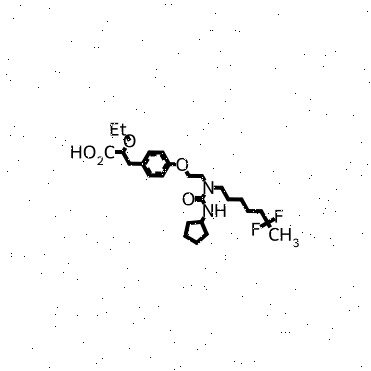 CCOC(Cc1ccc(OCCN(CCCCCC(C)(F)F)C(=O)NC2CCCC2)cc1)C(=O)O